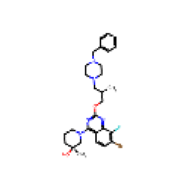 C[C@@H](COc1nc(N2CCC[C@@](C)(O)C2)c2ccc(Br)c(F)c2n1)CN1CCN(Cc2ccccc2)CC1